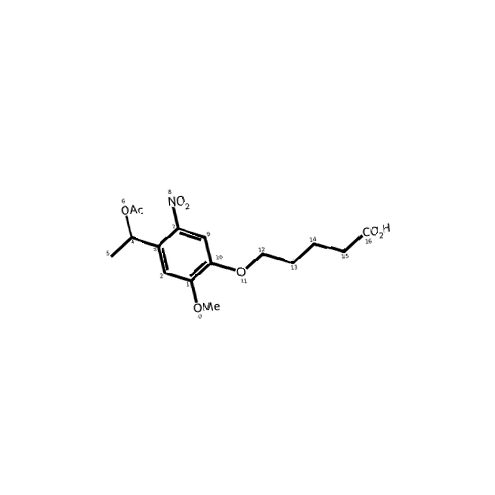 COc1cc(C(C)OC(C)=O)c([N+](=O)[O-])cc1OCCCCC(=O)O